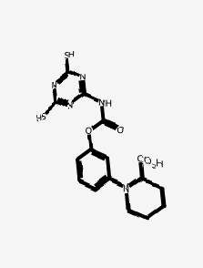 O=C(Nc1nc(S)nc(S)n1)Oc1cccc(N2CCCCC2C(=O)O)c1